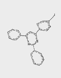 Ic1ccc(-c2cc(-c3ccccc3)nc(-c3ccccc3)n2)cc1